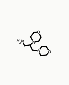 NCC(CN1CCOCC1)N1CCOCC1